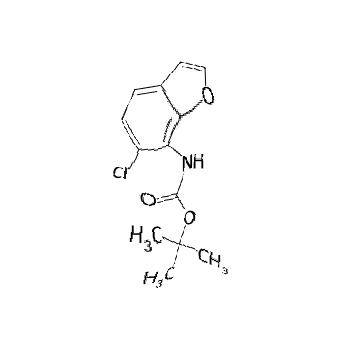 CC(C)(C)OC(=O)Nc1c(Cl)ccc2ccoc12